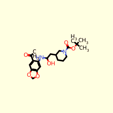 CC(=O)c1cc2c(cc1NC(O)CC1CCCN(C(=O)OC(C)(C)C)C1)OCO2